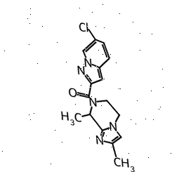 Cc1cn2c(n1)C(C)N(C(=O)c1cc3ccc(Cl)cn3n1)CC2